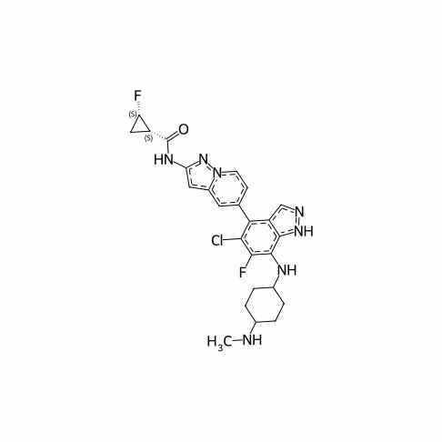 CNC1CCC(Nc2c(F)c(Cl)c(-c3ccn4nc(NC(=O)[C@@H]5C[C@@H]5F)cc4c3)c3cn[nH]c23)CC1